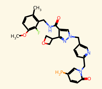 COc1ccc(C)c(CNC(=O)c2cn(Cc3ccc(Cn4cc(P)ccc4=O)nc3)nc2C2COC2)c1F